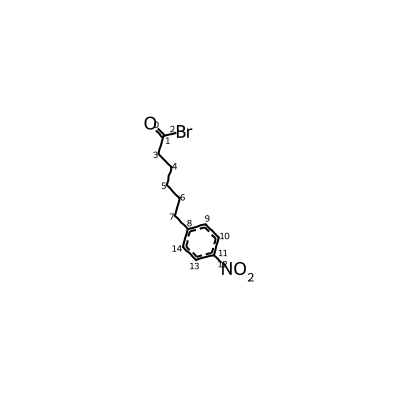 O=C(Br)CCCCCc1ccc([N+](=O)[O-])cc1